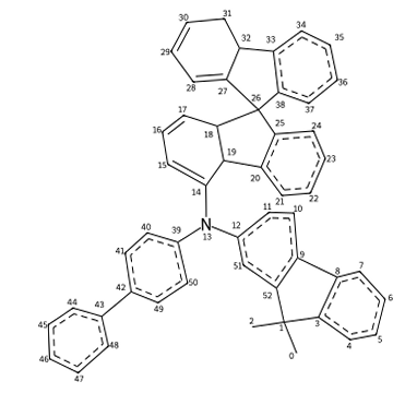 CC1(C)c2ccccc2-c2ccc(N(C3=CC=CC4C3c3ccccc3C43C4=CC=CCC4c4ccccc43)c3ccc(-c4ccccc4)cc3)cc21